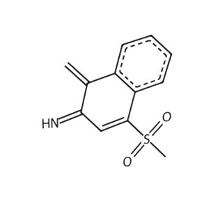 C=C1C(=N)C=C(S(C)(=O)=O)c2ccccc21